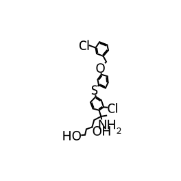 CC(N)(CC(O)CCO)c1ccc(Sc2cccc(OCc3cccc(Cl)c3)c2)cc1Cl